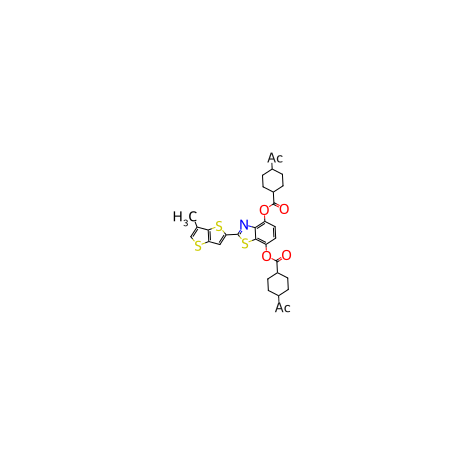 CC(=O)C1CCC(C(=O)Oc2ccc(OC(=O)C3CCC(C(C)=O)CC3)c3sc(-c4cc5scc(C)c5s4)nc23)CC1